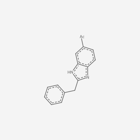 CC(=O)c1ccc2nc(Cc3ccccc3)[nH]c2c1